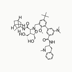 COc1c(CN2O[C@@H](CO)[C@@H]([C@H](C)O)[C@H]2C(=O)NC2C[C@H]3C[C@@H]([C@@H]2C)C3(C)C)cc(C(C)(C)C)cc1-c1cc(C(=O)N[C@@H](Cc2ccccc2)CN(C)C)cc(N(C)C)c1